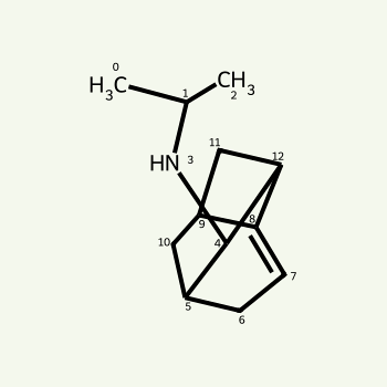 CC(C)NC1C2CC=C3C(C2)CC31